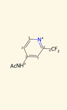 CC(=O)Nc1ccnc(C(F)(F)F)c1